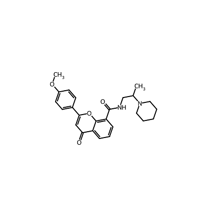 COc1ccc(-c2cc(=O)c3cccc(C(=O)NCC(C)N4CCCCC4)c3o2)cc1